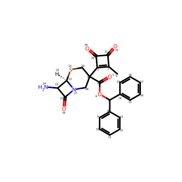 Cc1c(C2(C(=O)OC(c3ccccc3)c3ccccc3)CS[C@@H]3C(N)C(=O)N3C2)c(=O)c1=O